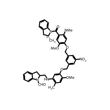 CNc1cc(OCc2cc(COc3cc(NCC4Cc5ccccc5N4C=O)c(C)cc3OC)cc([N+](=O)[O-])c2)c(OC)cc1C(=O)N1c2ccccc2C[C@H]1C